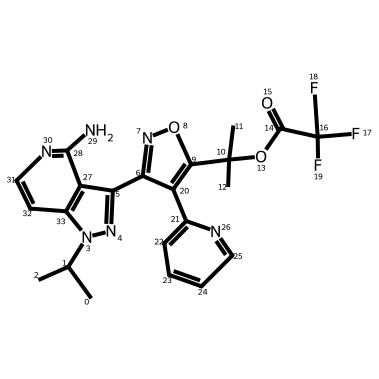 CC(C)n1nc(-c2noc(C(C)(C)OC(=O)C(F)(F)F)c2-c2ccccn2)c2c(N)nccc21